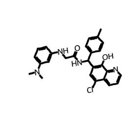 Cc1ccc(C(NC(=O)CNc2cccc(N(C)C)c2)c2cc(Cl)c3cccnc3c2O)cc1